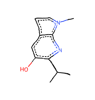 CC(C)c1nc2c(ccn2C)cc1O